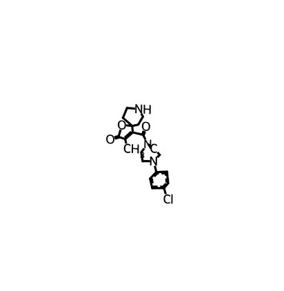 CC1=C(C(=O)N2CCN(c3ccc(Cl)cc3)CC2)C2(CCNCC2)OC1=O